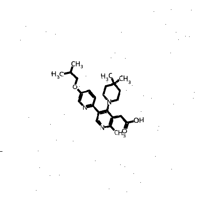 Cc1ncc(-c2ccc(OCC(C)C)cn2)c(N2CCC(C)(C)CC2)c1CC(=O)O